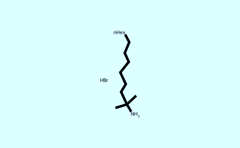 Br.CCCCCCCCCCCCC(C)(C)N